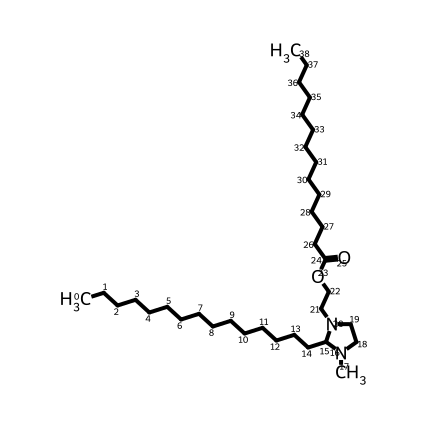 CCCCCCCCCCCCCCCC1N(C)CCN1CCOC(=O)CCCCCCCCCCCCC